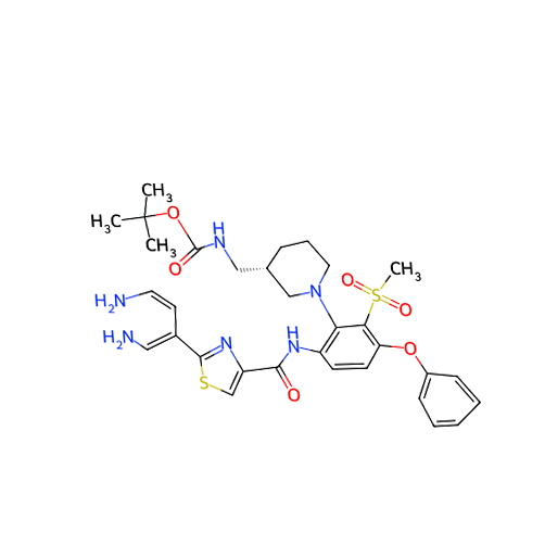 CC(C)(C)OC(=O)NC[C@@H]1CCCN(c2c(NC(=O)c3csc(C(/C=C\N)=C/N)n3)ccc(Oc3ccccc3)c2S(C)(=O)=O)C1